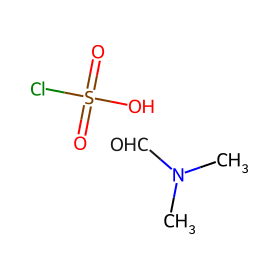 CN(C)C=O.O=S(=O)(O)Cl